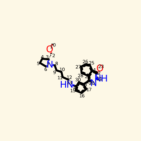 COC[C@H]1CCCN1CCCCCNc1cccc(-c2n[nH]c(=O)c3ccccc23)c1